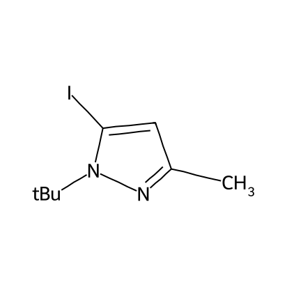 Cc1cc(I)n(C(C)(C)C)n1